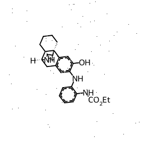 CCOC(=O)Nc1ccccc1Nc1cc2c(cc1O)[C@]13CCCC[C@@H]1[C@H](C2)NCC3